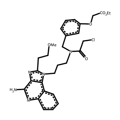 CCOC(=O)COc1cccc(CN(CCCn2c(CCOC)nc3c(N)nc4ccccc4c32)C(=O)CCl)c1